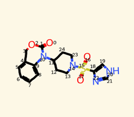 O=C1OCc2ccccc2N1C1CCN(S(=O)(=O)c2c[nH]cn2)CC1